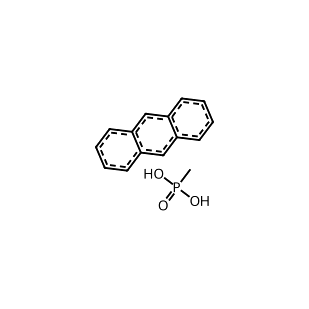 CP(=O)(O)O.c1ccc2cc3ccccc3cc2c1